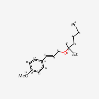 CCC(C)(CCCC(C)C)OCC=Cc1ccc(OC)cc1